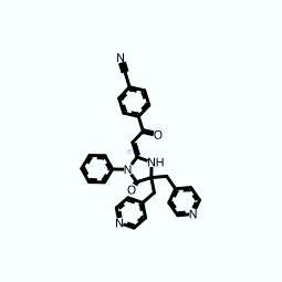 N#Cc1ccc(C(=O)/C=C2\NC(Cc3ccncc3)(Cc3ccncc3)C(=O)N2c2ccccc2)cc1